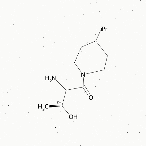 CC(C)C1CCN(C(=O)C(N)[C@H](C)O)CC1